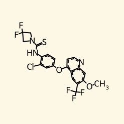 COc1cc2nccc(Oc3ccc(NC(=S)N4CC(F)(F)C4)c(Cl)c3)c2cc1C(F)(F)F